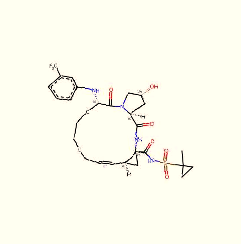 CC1(S(=O)(=O)NC(=O)[C@@]23C[C@H]2/C=C\CCCCC[C@H](Nc2cccc(C(F)(F)F)c2)C(=O)N2C[C@H](O)C[C@H]2C(=O)N3)CC1